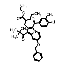 CCCC(Cc1c(C(=O)C(C)(C)C)c2cc(OCc3ccccc3)ccn2c1C(=O)c1ccc(Cl)c(C)c1)C(=O)OCC